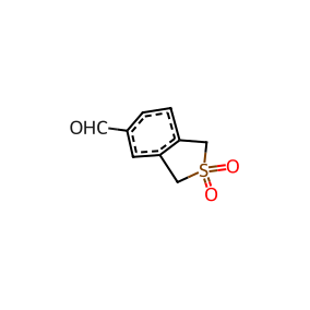 O=Cc1ccc2c(c1)CS(=O)(=O)C2